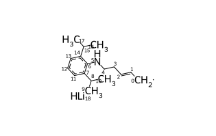 [CH2]C=CCCNc1c(C(C)C)cccc1C(C)C.[LiH]